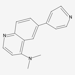 CN(C)c1ccnc2ccc(-c3ccncc3)cc12